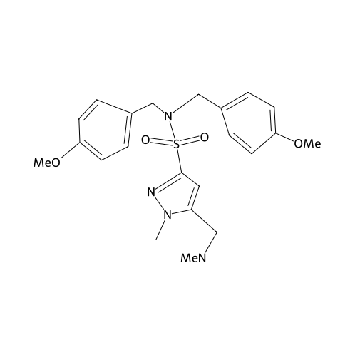 CNCc1cc(S(=O)(=O)N(Cc2ccc(OC)cc2)Cc2ccc(OC)cc2)nn1C